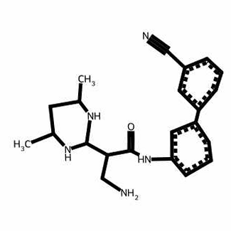 CC1CC(C)NC(C(CN)C(=O)Nc2cccc(-c3cccc(C#N)c3)c2)N1